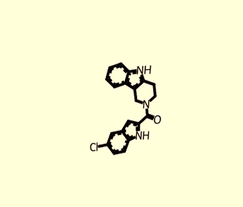 O=C(c1cc2cc(Cl)ccc2[nH]1)N1CCc2[nH]c3ccccc3c2C1